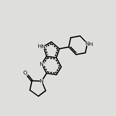 O=C1CCCN1c1ccc2c(C3=CCNCC3)c[nH]c2n1